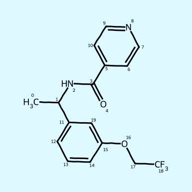 CC(NC(=O)c1ccncc1)c1cccc(OCC(F)(F)F)c1